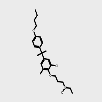 CCCCOc1ccc(C(C)(C)c2cc(C)c(OCCC[S+]([O-])CC)c(Cl)c2)cc1